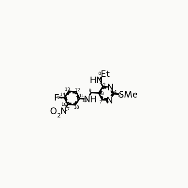 CCNc1nc(SC)ncc1CNc1ccc(F)c([N+](=O)[O-])c1